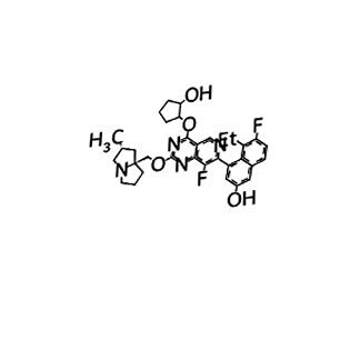 CCc1c(F)ccc2cc(O)cc(-c3ncc4c(OC5CCCC5O)nc(OC[C@@]56CCCN5C[C@H](C)C6)nc4c3F)c12